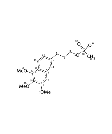 COc1cc2cc(CCCOS(C)(=O)=O)ccc2c(OC)c1OC